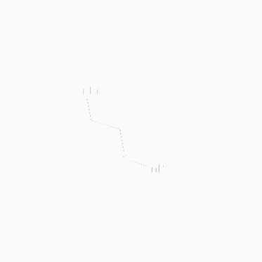 CC[CH]SCCCCC